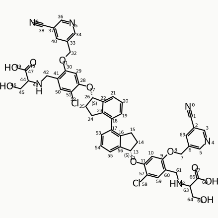 N#Cc1cncc(COc2cc(O[C@H]3CCc4c(-c5cccc6c5CC[C@@H]6Oc5cc(OCc6cncc(C#N)c6)c(CNC(CO)C(=O)O)cc5Cl)cccc43)c(Cl)cc2CNC(CO)C(=O)O)c1